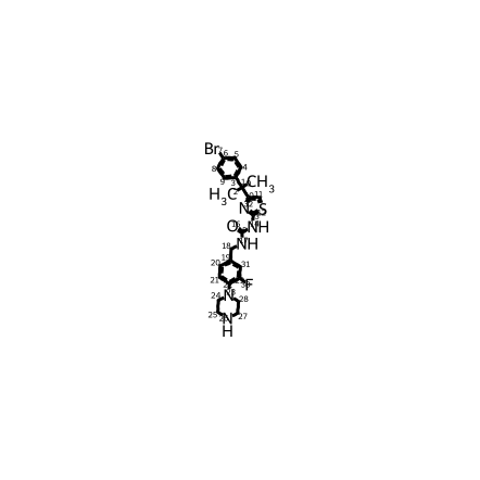 CC(C)(c1ccc(Br)cc1)c1csc(NC(=O)NCc2ccc(N3CCNCC3)c(F)c2)n1